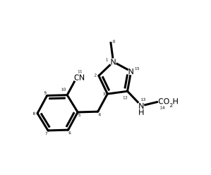 Cn1cc(Cc2ccccc2C#N)c(NC(=O)O)n1